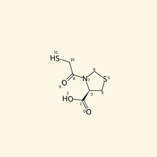 O=C(O)[C@@H]1CSCN1C(=O)CS